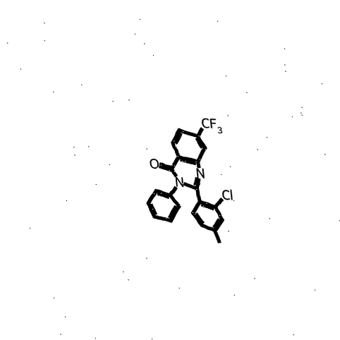 Cc1ccc(-c2nc3cc(C(F)(F)F)ccc3c(=O)n2-c2ccccc2)c(Cl)c1